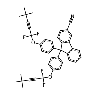 CC(C)(C)C#CC(F)(F)Oc1ccc(C2(c3ccc(OC(F)(F)C#CC(C)(C)C)cc3)c3ccccc3-c3cc(C#N)ccc32)cc1